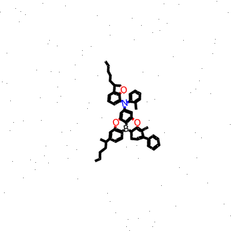 CCCCCC1COc2c1cccc2N(c1cc2c3c(c1)Oc1cc(C(C)CCCC)ccc1B3C1CC=C(c3ccccc3)C(C)=C1O2)c1ccccc1C